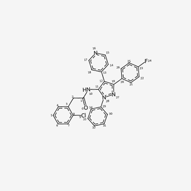 O=C(Cc1ccccc1Cl)Nc1c(-c2ccncc2)c(-c2ccc(F)cc2)nn1-c1ccccc1